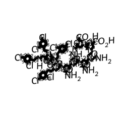 NCCN(CC(=O)N(CCC(=O)O)CC(=O)N(CCC(=O)O)CC(N)=O)C(=O)CN(CCN)C(=O)CN(CCN)C(=O)CN(CCN)C(=O)CN(CCc1ccc(Cl)cc1Cl)C(=O)CN(CCc1ccc(Cl)cc1Cl)C(=O)CN(CCc1ccc(Cl)cc1Cl)C(=O)CNCCc1ccc(Cl)cc1Cl